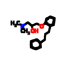 CN(C)CC(O)COc1ccccc1CCCc1ccccc1